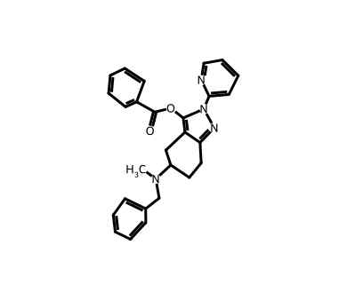 CN(Cc1ccccc1)C1CCc2nn(-c3ccccn3)c(OC(=O)c3ccccc3)c2C1